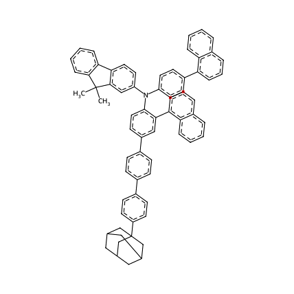 CC1(C)c2ccccc2-c2ccc(N(c3ccc(-c4cccc5ccccc45)cc3)c3ccc(-c4ccc(-c5ccc(C67CC8CC(CC(C8)C6)C7)cc5)cc4)cc3-c3cccc4ccccc34)cc21